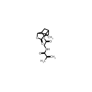 C=C(C)C(=O)NCC(=O)OC1(C)C2CC3C(=O)OC1C3C2